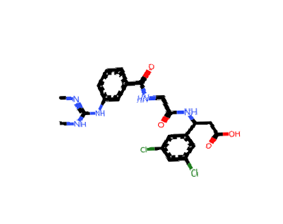 CN=C(NC)Nc1cccc(C(=O)NCC(=O)NC(CC(=O)O)c2cc(Cl)cc(Cl)c2)c1